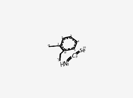 Cc1ccccc1C.N=C=[Se]